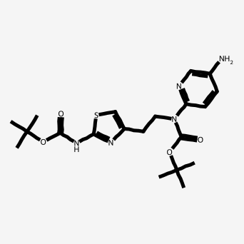 CC(C)(C)OC(=O)Nc1nc(CCN(C(=O)OC(C)(C)C)c2ccc(N)cn2)cs1